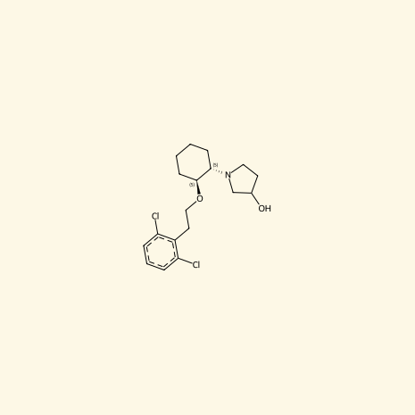 OC1CCN([C@H]2CCCC[C@@H]2OCCc2c(Cl)cccc2Cl)C1